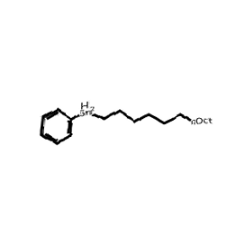 CCCCCCCCCCCCC[CH2][SnH2][c]1ccccc1